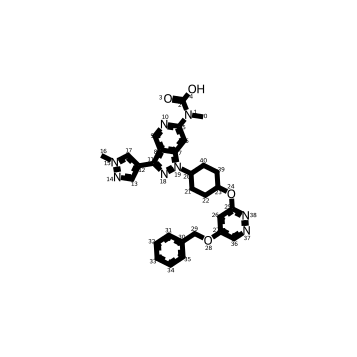 CN(C(=O)O)c1cc2c(cn1)c(-c1cnn(C)c1)nn2C1CCC(Oc2cc(OCc3ccccc3)cnn2)CC1